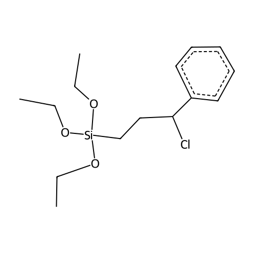 CCO[Si](CCC(Cl)c1ccccc1)(OCC)OCC